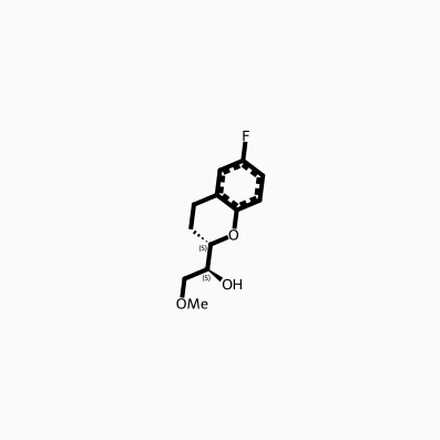 COC[C@H](O)[C@@H]1CCc2cc(F)ccc2O1